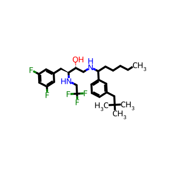 CCCCCC(NC[C@@H](O)[C@H](Cc1cc(F)cc(F)c1)NCC(F)(F)F)c1cccc(CC(C)(C)C)c1